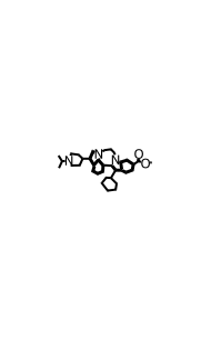 COC(=O)c1ccc2c(C3CCCCC3)c3n(c2c1)CCCn1cc(C2CCN(C(C)C)CC2)c2cccc-3c21